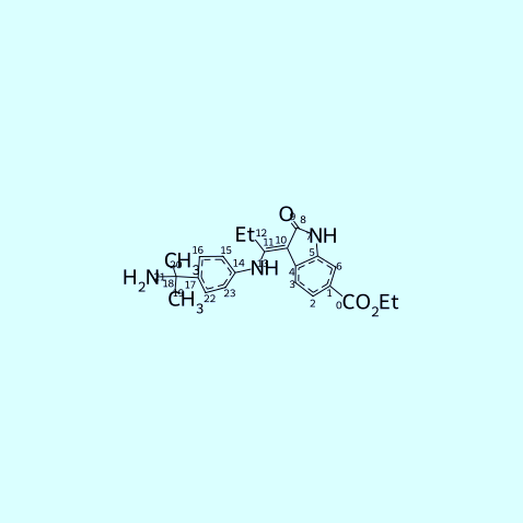 CCOC(=O)c1ccc2c(c1)NC(=O)C2=C(CC)Nc1ccc(C(C)(C)N)cc1